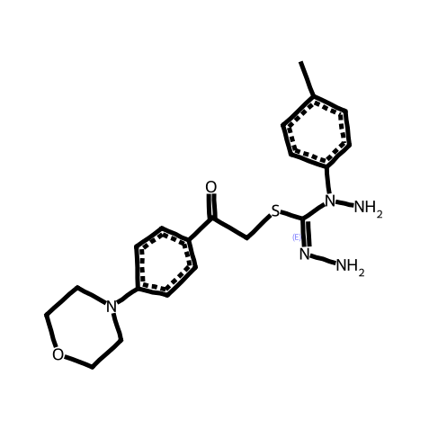 Cc1ccc(N(N)/C(=N\N)SCC(=O)c2ccc(N3CCOCC3)cc2)cc1